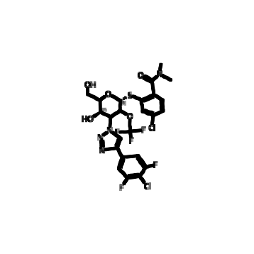 CN(C)C(=O)c1ccc(Cl)cc1S[C@H]1OC(CO)[C@H](O)C(n2cc(-c3cc(F)c(Cl)c(F)c3)nn2)C1OC(F)(F)F